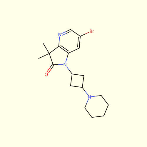 CC1(C)C(=O)N(C2CC(N3CCCCC3)C2)c2cc(Br)cnc21